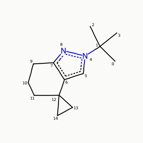 CC(C)(C)n1cc2c(n1)CCCC21CC1